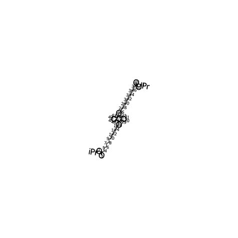 CC(C)OC(=O)CCCCCCCCCCCCOc1c2ccccc2c(OCCCCCCCCCCCCC(=O)OC(C)C)c2ccccc12